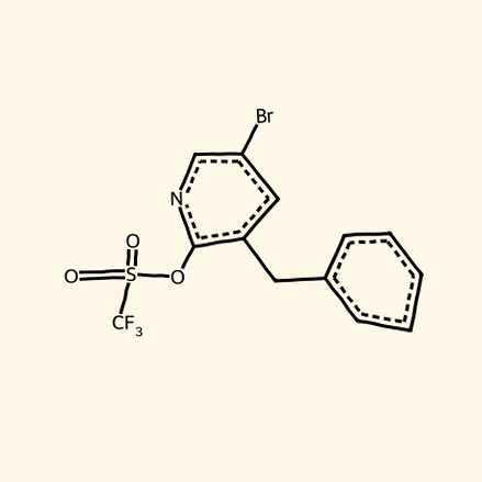 O=S(=O)(Oc1ncc(Br)cc1Cc1ccccc1)C(F)(F)F